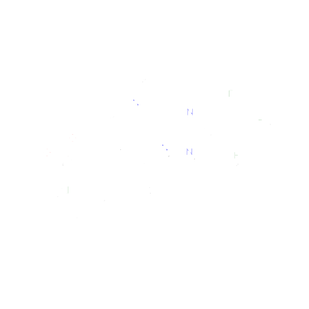 CCc1cc(CC)c(S(=O)(=O)Cl)cc1-n1nc(C(F)(F)F)nc1N(C)C